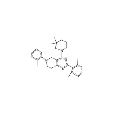 Cc1ccccc1N1CCc2nc(-c3c(C)cccc3C)nc(N3CCCC(C)(C)C3)c2C1